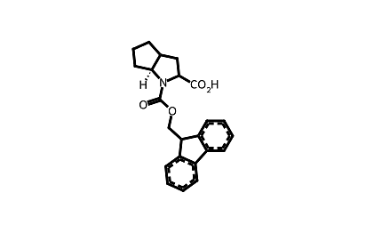 O=C(O)C1CC2CCC[C@@H]2N1C(=O)OCC1c2ccccc2-c2ccccc21